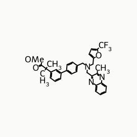 COC(=O)C(C)(C)c1cccc(-c2ccc(CN(Cc3ccc(C(F)(F)F)o3)Cc3nc4ccccc4nc3C)cc2)c1